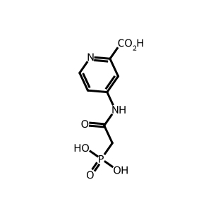 O=C(CP(=O)(O)O)Nc1ccnc(C(=O)O)c1